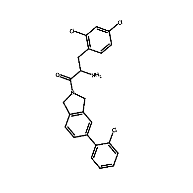 NC(Cc1ccc(Cl)cc1Cl)C(=O)N1Cc2ccc(-c3ccccc3Cl)cc2C1